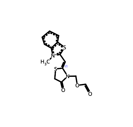 C[n+]1c(/C=C2\SCC(=O)N2COC=O)sc2ccccc21